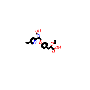 CCO/C(=C\c1ccc(OC/C(=N/CO)c2ccc(CC)cn2)cc1)C(=O)O